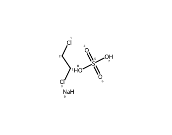 ClCCCl.O=S(=O)(O)O.[NaH]